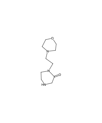 O=C1CNCCN1CCN1CCOCC1